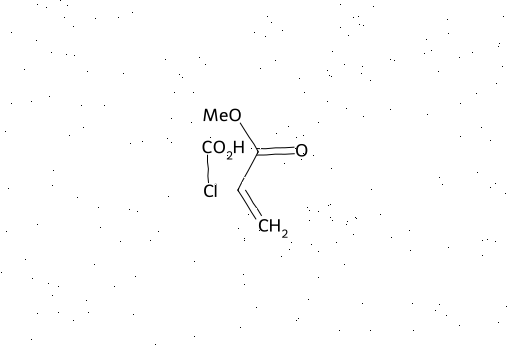 C=CC(=O)OC.O=C(O)Cl